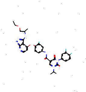 CCOCC(C)Nc1n[nH]c2nccc(Oc3ccc(NC(=O)c4cn(C(C)C)c(=O)n(-c5ccc(F)c(F)c5)c4=O)cc3F)c12